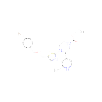 CCc1cc(C2CN(C(=O)OC(C)(C)C)CCN2c2ncc(COCc3ccc(Br)cc3)s2)ccn1